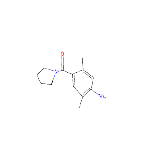 Cc1cc(C(=O)N2CCCC2)c(C)cc1N